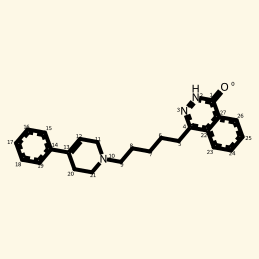 O=c1[nH]nc(CCCCCN2CC=C(c3ccccc3)CC2)c2ccccc12